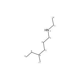 [CH2]CNCCCC(C)CC